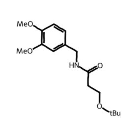 COc1ccc(CNC(=O)CCOC(C)(C)C)cc1OC